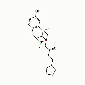 CN1CC[C@]2(C)c3cc(O)ccc3CC1C2CCC(=O)CCC1CCCC1